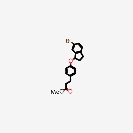 COC(=O)CCc1ccc(OC2CCc3ccc(Br)cc32)cc1